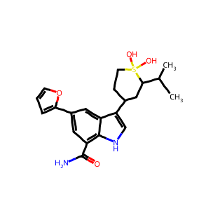 CC(C)C1CC(c2c[nH]c3c(C(N)=O)cc(-c4ccco4)cc23)CCS1(O)O